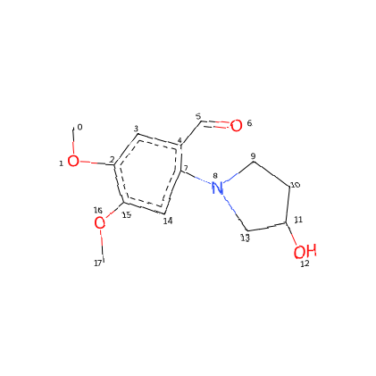 COc1cc(C=O)c(N2CCC(O)C2)cc1OC